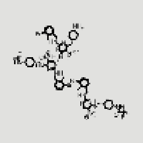 CC(=O)N[C@H]1CC[C@H](CNc2nc(NCc3cccc(Br)c3C)ncc2[N+](=O)[O-])CC1.Cc1c(Br)cccc1CNc1nc(N)c([N+](=O)[O-])c(C[C@H]2CC[C@H](N)CC2)n1.Cc1c(Br)cccc1CNc1ncc([N+](=O)[O-])c(NC[C@H]2CC[C@H](NC(=O)C(F)(F)F)CC2)n1